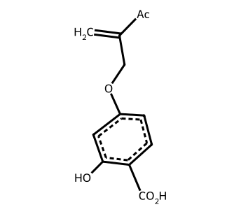 C=C(COc1ccc(C(=O)O)c(O)c1)C(C)=O